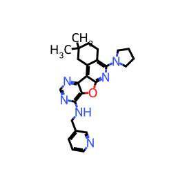 CC1(C)CCc2c(N3CCCC3)nc3oc4c(NCc5cccnc5)ncnc4c3c2C1